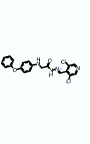 O=C(CNc1ccc(Oc2ccccc2)cc1)N/N=C/c1c(Cl)cncc1Cl